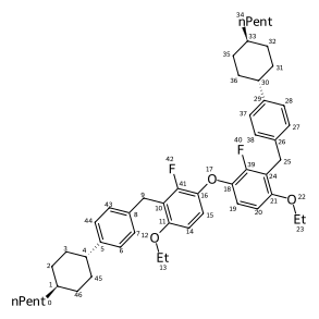 CCCCC[C@H]1CC[C@H](c2ccc(Cc3c(OCC)ccc(Oc4ccc(OCC)c(Cc5ccc([C@H]6CC[C@H](CCCCC)CC6)cc5)c4F)c3F)cc2)CC1